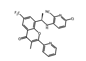 Cc1c(-c2ccccn2)oc2c([C@@H](C)Nc3ccc(Cl)nc3C#N)cc(C(F)(F)F)cc2c1=O